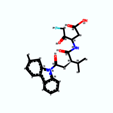 Cc1ccc2c3ccccc3n(C(=O)C[C@H](C(=O)NC(CC(=O)O)C(=O)CF)C(C)C)c2c1